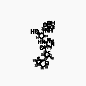 Cc1sc(C(=O)c2cncnc2N[C@H]2C[C@H](O)[C@@H]([CH]NS(=O)(=O)O)C2)cc1[C@@H]1OCCc2ccsc21